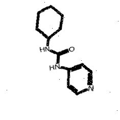 O=C(Nc1ccncc1)NC1CCCCC1